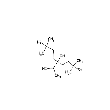 CC(O)C(O)(CCC(C)(C)S)CCC(C)(C)S